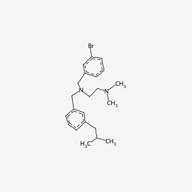 CC(C)Cc1cccc(CN(CCN(C)C)Cc2cccc(Br)c2)c1